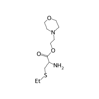 CCSCC(N)C(=O)OCCN1CCOCC1